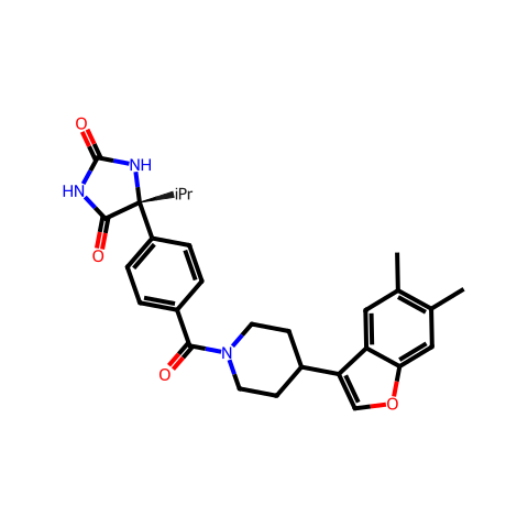 Cc1cc2occ(C3CCN(C(=O)c4ccc([C@@]5(C(C)C)NC(=O)NC5=O)cc4)CC3)c2cc1C